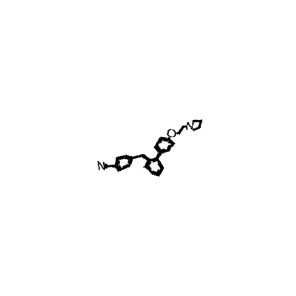 N#Cc1ccc(Cc2ccccc2-c2ccc(OCCN3CCCC3)cc2)cc1